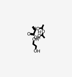 C=CC(=O)O.CC(O)OC(C)O.OCCO